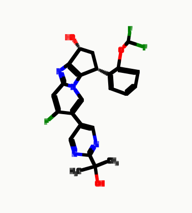 CC(C)(O)c1ncc(-c2cn3c4c(nc3cc2F)[C@H](O)C[C@@H]4c2ccccc2OC(F)F)cn1